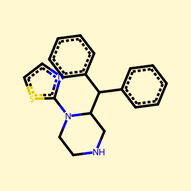 c1ccc(C(c2ccccc2)C2CNCCN2c2nccs2)cc1